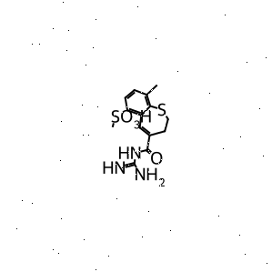 CS(=O)(=O)O.Cc1cccc2c1SCCC(C(=O)NC(=N)N)=C2